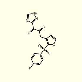 O=C(Cc1ccoc1S(=O)(=O)c1ccc(F)cc1)C(=O)c1nc[nH]n1